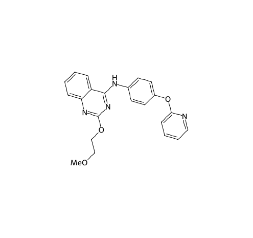 COCCOc1nc(Nc2ccc(Oc3ccccn3)cc2)c2ccccc2n1